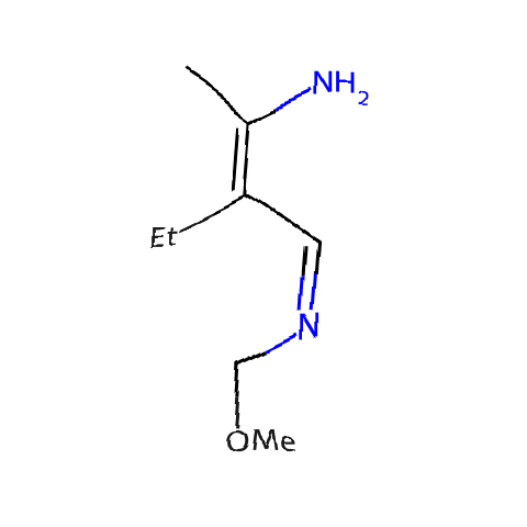 CCC(/C=N\COC)=C(\C)N